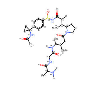 CCC(C)C(C(CC(=O)N1CCCC1C(OC)C(C)C(=O)N[S+]([O-])c1ccc(C2(NC(=O)C(F)(F)F)CC2)cc1)OC)N(C)C(=O)CNC(=O)C(C(C)C)N(C)C